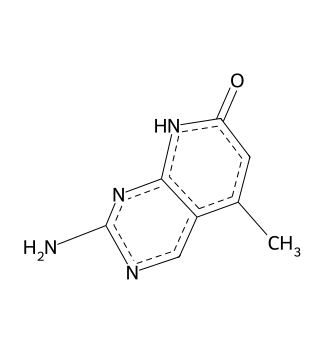 Cc1cc(=O)[nH]c2nc(N)ncc12